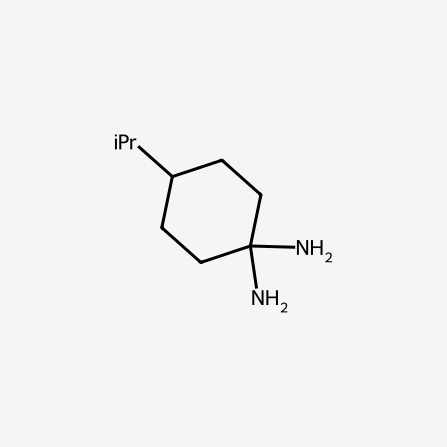 CC(C)C1CCC(N)(N)CC1